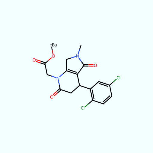 CN1CC2=C(C1=O)C(c1cc(Cl)ccc1Cl)CC(=O)N2CC(=O)OC(C)(C)C